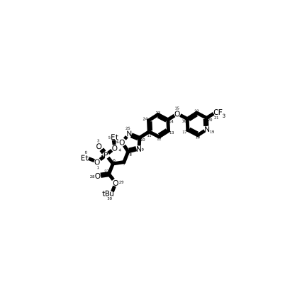 CCOP(=O)(OCC)C(Cc1nc(-c2ccc(Oc3ccnc(C(F)(F)F)c3)cc2)no1)C(=O)OC(C)(C)C